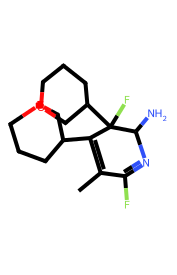 CC1=C(C2CCCOC2)C(F)(C2CCCOC2)C(N)N=C1F